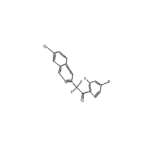 O=C(c1ccc(F)cc1F)C(F)(F)c1cc2ccc(Cl)cc2cn1